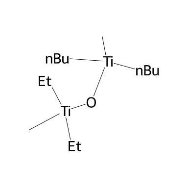 CCC[CH2][Ti]([CH3])([CH2]CCC)[O][Ti]([CH3])([CH2]C)[CH2]C